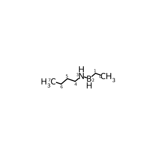 CCBNCCCC